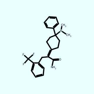 CN(C)C1(c2ccccc2)CCC(=C(Cc2ccccc2C(F)(F)F)C(N)=O)CC1